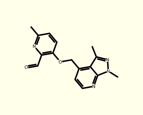 Cc1ccc(OCc2ccnc3c2c(C)nn3C)c(C=O)n1